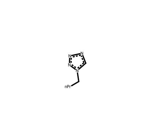 [CH2]CCCn1cnnn1